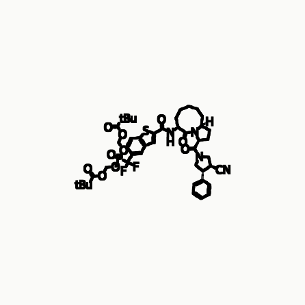 CC(C)(C)C(=O)OCOP(=O)(OCOC(=O)C(C)(C)C)C(F)(F)c1ccc2sc(C(=O)N[C@H]3CCCCC[C@H]4CC[C@@H](C(=O)N5C[C@@H](C#N)[C@H](c6ccccc6)C5)N4C3=O)cc2c1